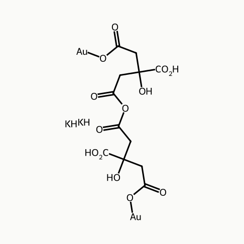 O=C(CC(O)(CC(=O)OC(=O)CC(O)(CC(=O)[O][Au])C(=O)O)C(=O)O)[O][Au].[KH].[KH]